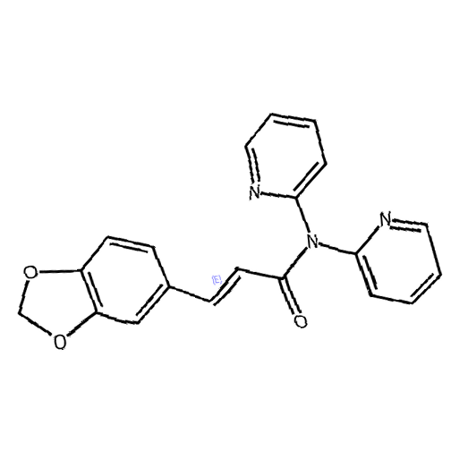 O=C(/C=C/c1ccc2c(c1)OCO2)N(c1ccccn1)c1ccccn1